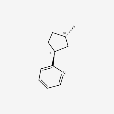 C[C@H]1CC[C@H](c2ccccn2)C1